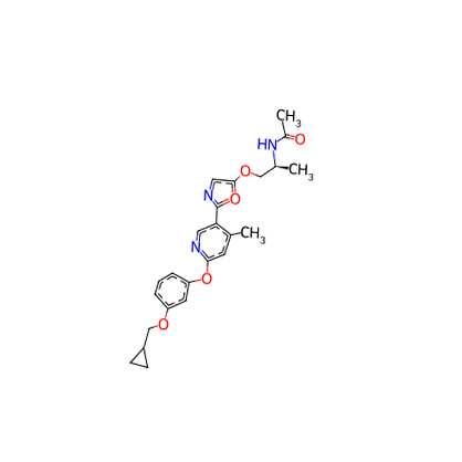 CC(=O)N[C@@H](C)COc1cnc(-c2cnc(Oc3cccc(OCC4CC4)c3)cc2C)o1